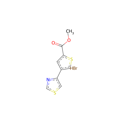 Br.COC(=O)c1cc(-c2cscn2)cs1